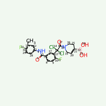 Cc1cc(NC(=O)c2ccc(F)c(C(Cl)(Cl)C(=O)N3CC=C(B(O)O)CC3)c2)ccc1F